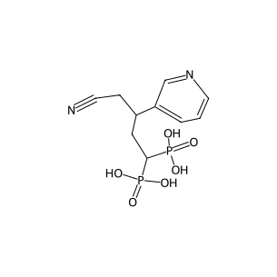 N#CCC(CC(P(=O)(O)O)P(=O)(O)O)c1cccnc1